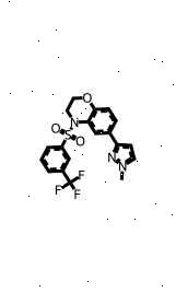 Cn1ccc(-c2ccc3c(c2)N(S(=O)(=O)c2cccc(C(F)(F)F)c2)CCO3)n1